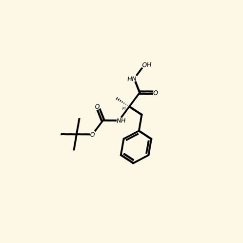 CC(C)(C)OC(=O)N[C@](C)(Cc1ccccc1)C(=O)NO